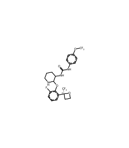 O=C(Nc1ccc(OC(F)(F)F)cc1)NC1CCCNC1Oc1c(F)cccc1[C@]1(C(F)(F)F)CCO1